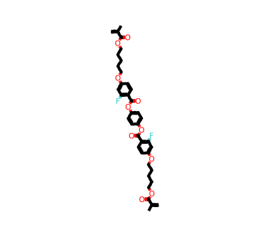 C=C(C)C(=O)OCCCCCOc1ccc(C(=O)Oc2ccc(OC(=O)c3ccc(OCCCCCOC(=O)C(=C)C)cc3F)cc2)c(F)c1